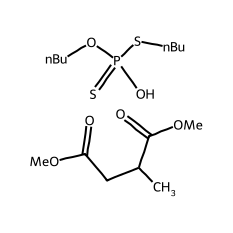 CCCCOP(O)(=S)SCCCC.COC(=O)CC(C)C(=O)OC